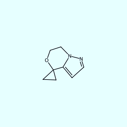 c1cc2n(n1)CCOC21CC1